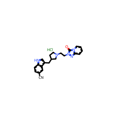 Cl.N#Cc1ccc2[nH]cc(CC3CCN(CCn4nc5ccccn5c4=O)C3)c2c1